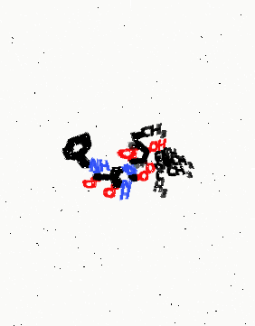 CC[C@H]1O[C@@H](n2cc(C(=O)NCc3ccccc3)c(=O)[nH]c2=O)[C@@H](O[Si](C)(C)C(C)(C)C)C1O